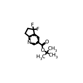 CC(C)(C)OC(=O)c1cnc2c(c1)C(F)(F)CC2